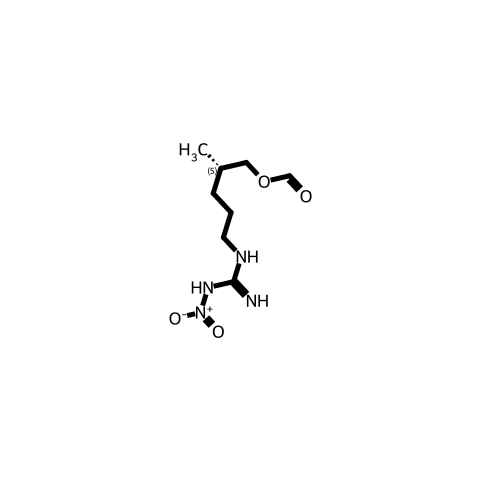 C[C@@H](CCCNC(=N)N[N+](=O)[O-])COC=O